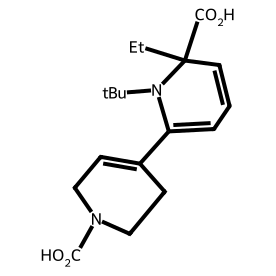 CCC1(C(=O)O)C=CC=C(C2=CCN(C(=O)O)CC2)N1C(C)(C)C